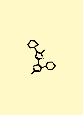 Cc1cc(C2CCCCC2)c(-c2cc(C3CCCCC3)c(C)s2)s1